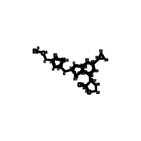 CCOCc1cn(Cc2cn3cc(C4CC4)cc(N4CCOC4=O)c3n2)nn1